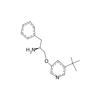 CC(C)(C)c1cncc(OC[C@@H](N)Cc2ccccc2)c1